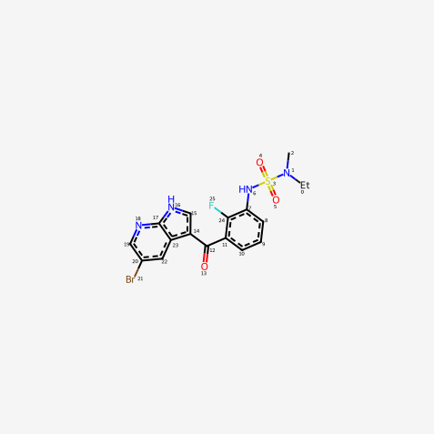 CCN(C)S(=O)(=O)Nc1cccc(C(=O)c2c[nH]c3ncc(Br)cc23)c1F